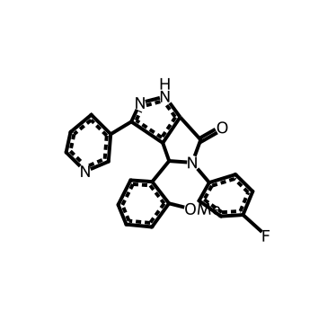 COc1ccccc1C1c2c(-c3cccnc3)n[nH]c2C(=O)N1c1ccc(F)cc1